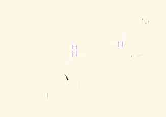 [C-]#[N+]c1ccc(C(=O)N[C@@H](C)c2c(F)cccc2Cl)n1C